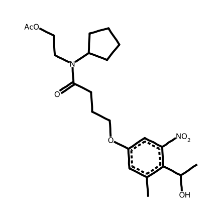 CC(=O)OCCN(C(=O)CCCOc1cc(C)c(C(C)O)c([N+](=O)[O-])c1)C1CCCC1